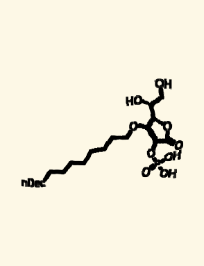 CCCCCCCCCCCCCCCCCCOC1=C(OP(=O)(O)O)C(=O)O[C@@H]1[C@@H](O)CO